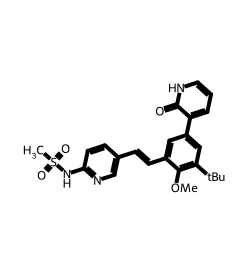 COc1c(C=Cc2ccc(NS(C)(=O)=O)nc2)cc(-c2ccc[nH]c2=O)cc1C(C)(C)C